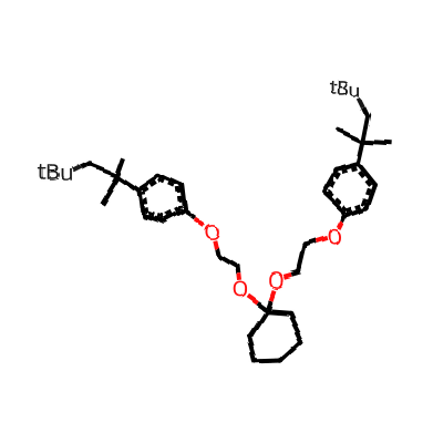 CC(C)(C)CC(C)(C)c1ccc(OCCOC2(OCCOc3ccc(C(C)(C)CC(C)(C)C)cc3)CCCCC2)cc1